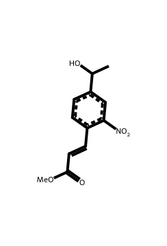 COC(=O)C=Cc1ccc(C(C)O)cc1[N+](=O)[O-]